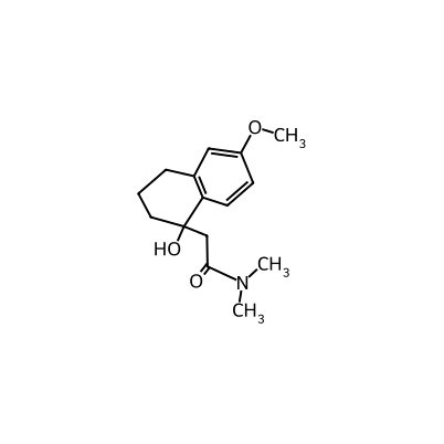 COc1ccc2c(c1)CCCC2(O)CC(=O)N(C)C